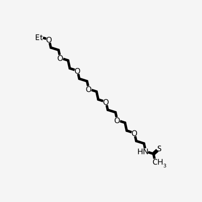 CCOCCOCCOCCOCCOCCOCCOCCNC(C)=S